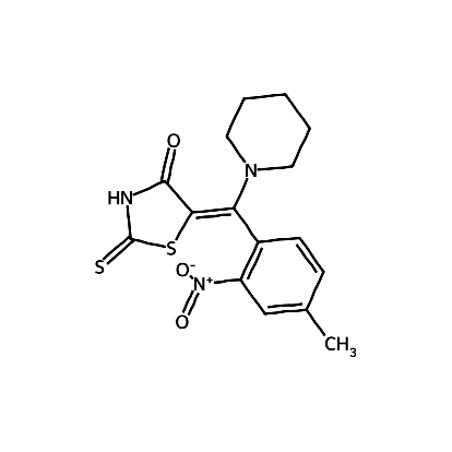 Cc1ccc(/C(=C2\SC(=S)NC2=O)N2CCCCC2)c([N+](=O)[O-])c1